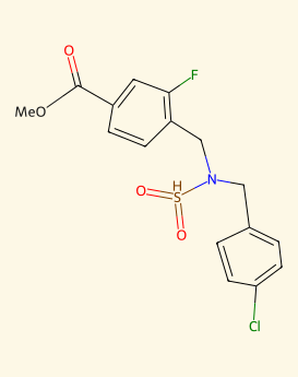 COC(=O)c1ccc(CN(Cc2ccc(Cl)cc2)[SH](=O)=O)c(F)c1